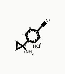 Cl.N#Cc1ccc(C2(N)CC2)cc1